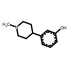 CN1CCC(c2cccc(O)c2)CC1